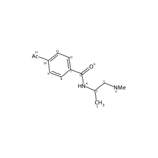 CNCC(C)NC(=O)c1ccc(C(C)=O)cc1